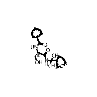 CC(C)(NC(=O)[C@H](CO)NC(=O)c1ccccc1)c1ccccc1